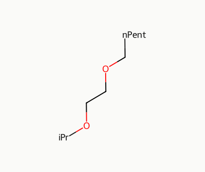 CCCCCCOCCOC(C)C